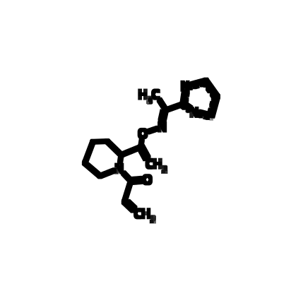 C=CC(=O)N1CCCCC1C(=C)O/N=C(\C)c1ncccn1